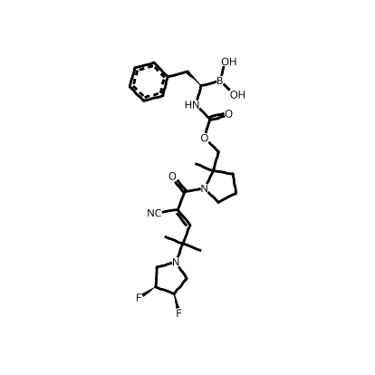 CC(C)(C=C(C#N)C(=O)N1CCCC1(C)COC(=O)N[C@@H](Cc1ccccc1)B(O)O)N1C[C@@H](F)[C@@H](F)C1